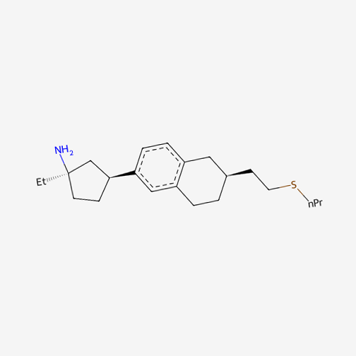 CCCSCC[C@H]1CCc2cc([C@H]3CC[C@](N)(CC)C3)ccc2C1